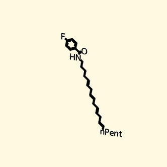 CCCCCC=CCC=CCC=CCC=CCCCCNC(=O)c1ccc(F)cc1